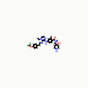 CCn1ccnc(Nc2ccc(C(=O)N(C)CC3(O)CCNCC3)c(C)c2)/c1=N/CCc1ccc(OC(F)F)cc1